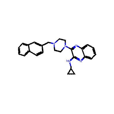 c1ccc2cc(CN3CCN(c4nc5ccccc5nc4NC4CC4)CC3)ccc2c1